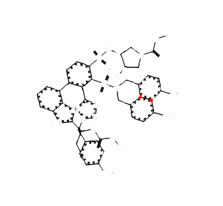 COc1ccc(CN(Cc2ccc(OC)cc2)S(=O)(=O)c2c(S(=O)(=O)N[C@H]3CN(C(=O)OC(C)(C)C)C[C@H]3N)ccc(-c3cccc4[nH]c(C(CO)NC(=O)OC(C)(C)C)nc34)c2-c2nnn(Cc3ccc(OC)cc3)n2)cc1